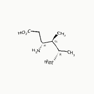 CCCCC[C@@H](C)[C@H](C)[C@H](N)CC(=O)O